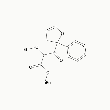 CCCCOC(=O)C(OCC)C(=O)C1(c2ccccc2)CC=CO1